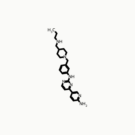 CCCNCC1CCN(Cc2cccc(Nc3nccc(-c4ccc(N)nc4)n3)c2)CC1